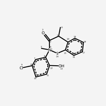 CC1C(=O)[N+](C)(c2cc(Cl)ccc2O)Sc2ccccc21